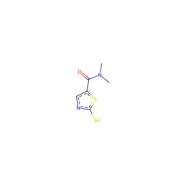 CN(C)C(=O)c1cnc(S)s1